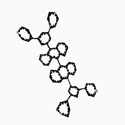 c1ccc2c(-c3c4ccccc4c(-c4cc(-c5ccncc5)cc(-c5ccncc5)c4)c4ccccc34)c3ccccc3c(-c3cc(-c4ccncc4)cc(-c4ccncc4)c3)c2c1